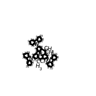 CC1(C)c2cc(-n3c4ccccc4c4ccccc43)cc3c2-n2c4c1cc(-n1c5ccccc5c5ccccc51)cc4c1cc(-n4c5ccccc5c5ccccc54)cc(c12)C3(C)C